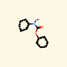 N#CN(C(=O)Oc1ccccc1)c1ccccc1